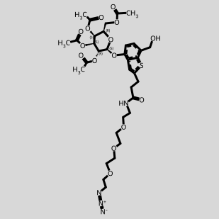 CC(=O)OC[C@H]1O[C@@H](Oc2ccc(CO)c3sc(CCC(=O)NCCOCCOCCOCCN=[N+]=[N-])cc23)[C@H](OC(C)=O)[C@@H](OC(C)=O)[C@H]1OC(C)=O